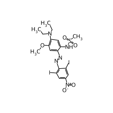 CCN(CC)c1cc(NS(C)(=O)=O)c(N=Nc2c(I)cc([N+](=O)[O-])cc2I)cc1OC